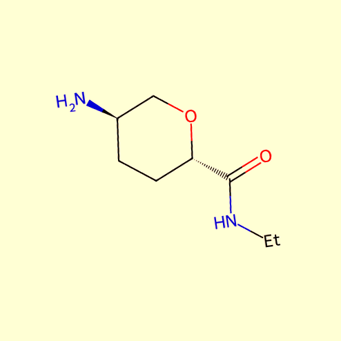 CCNC(=O)[C@@H]1CC[C@@H](N)CO1